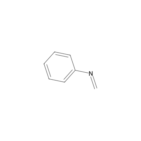 C=Nc1ccccc1